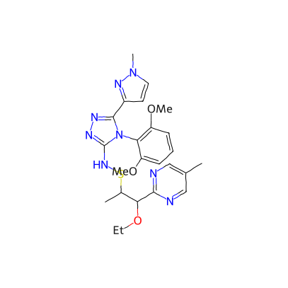 CCOC(c1ncc(C)cn1)C(C)SNc1nnc(-c2ccn(C)n2)n1-c1c(OC)cccc1OC